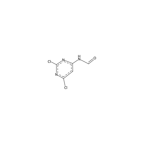 O=CNc1cc(Cl)nc(Cl)n1